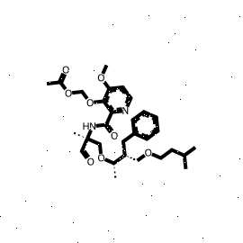 COc1ccnc(C(=O)N[C@](C)(C=O)CO[C@@H](C)[C@@H](COCCC(C)C)Cc2ccccc2)c1OCOC(C)=O